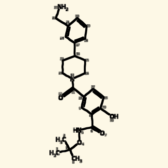 CC(C)(C)ONC(=O)c1cc(C(=O)N2CCC(c3cccc(CN)c3)CC2)ccc1O